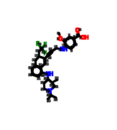 COc1cc(C(=O)O)ccc1NCC#CC1=Cc2c(cccc2N[C@@H]2CCN(C(C)C)C[C@@H]2C)CC1CC(F)(F)F